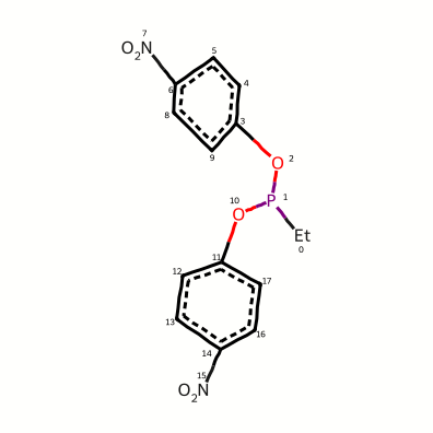 CCP(Oc1ccc([N+](=O)[O-])cc1)Oc1ccc([N+](=O)[O-])cc1